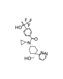 C[C@](O)(c1ccc(C(=O)N(C2CC2)[C@H]2CC[C@](CO)(c3cccnn3)CC2)cc1)C(F)(F)F